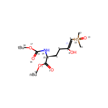 CCCCOC(=O)[C@H](CC/C(O)=C/[SH](C)(C)=O)NC(=O)OC(C)(C)C